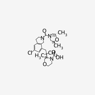 C[C@H]1CN(C(=O)N2CCc3cc(Cl)cc(CC(C)(C)[C@@H]4COCCN4C(=O)O)c3C2)C[C@H](C)O1